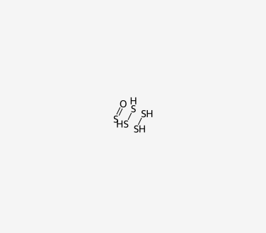 O=S.SS.SS